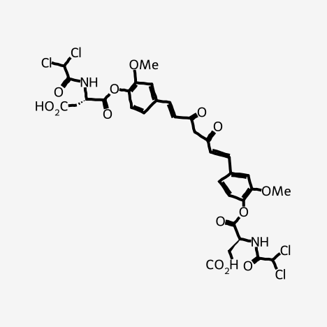 COc1cc(/C=C/C(=O)CC(=O)/C=C/c2ccc(OC(=O)[C@H](CC(=O)O)NC(=O)C(Cl)Cl)c(OC)c2)ccc1OC(=O)[C@H](CC(=O)O)NC(=O)C(Cl)Cl